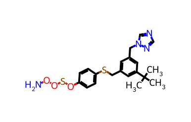 CC(C)(C)c1cc(CSc2ccc(OSOON)cc2)cc(Cn2cncn2)c1